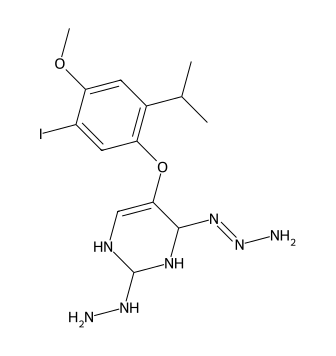 COc1cc(C(C)C)c(OC2=CNC(NN)NC2N=NN)cc1I